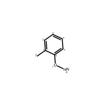 [CH2]c1ccccc1OCCC